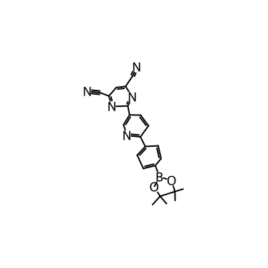 CC1(C)OB(c2ccc(-c3ccc(-c4nc(C#N)cc(C#N)n4)cn3)cc2)OC1(C)C